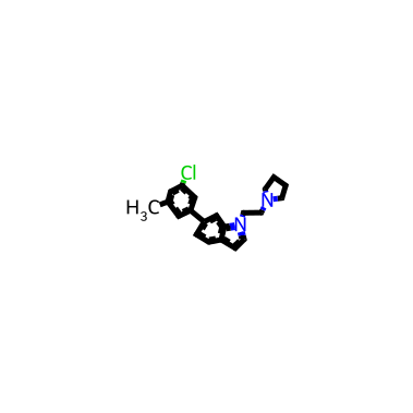 Cc1cc(Cl)cc(-c2ccc3ccn(CCN4CCCC4)c3c2)c1